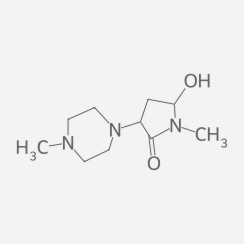 CN1CCN(C2CC(O)N(C)C2=O)CC1